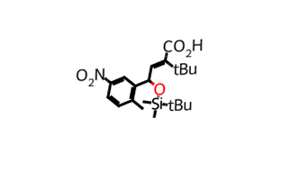 Cc1ccc([N+](=O)[O-])cc1C(C=C(C(=O)O)C(C)(C)C)O[Si](C)(C)C(C)(C)C